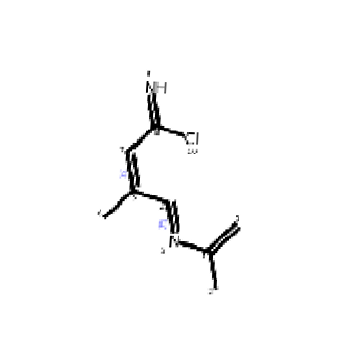 C=C(C)/N=C/C(C)=C\C(=N)Cl